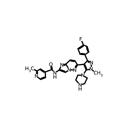 Cc1cc(C(=O)Nc2cn3nc(-c4c(-c5ccc(F)cc5)nn(C)c4N4CCNCC4)ccc3n2)ccn1